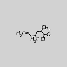 C=CCC(C)CC(C)C(=O)Cl